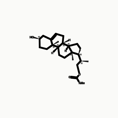 CNC(=O)OC[C@@H](C)[C@H]1CC[C@H]2[C@@H]3CC=C4C[C@@H](O)CC[C@]4(C)[C@H]3CC[C@]12C